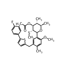 COc1cc(C)c(Cc2ccc(-c3ccc(F)cc3)s2)cc1C1O[C@H](C)[C@@H](C)[C@H](OC(C)=O)[C@H]1SC